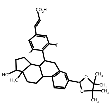 CC12CCC3c4ccc(B5OC(C)(C)C(C)(C)O5)cc4CC(c4c(F)cc(/C=C/C(=O)O)cc4F)C3C1CCC2O